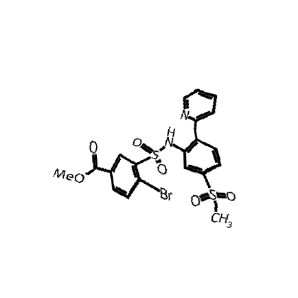 COC(=O)c1ccc(Br)c(S(=O)(=O)Nc2cc(S(C)(=O)=O)ccc2-c2ccccn2)c1